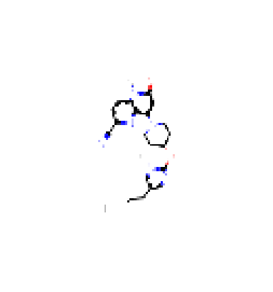 CCCc1cnc(O[C@H]2CCN(c3cc(=O)n(C)c4ccc(C#N)nc34)C[C@H]2C)nc1